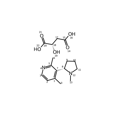 Cc1ccnc(C)c1[C@@H]1CCCN1C.O=C(O)C[C@H](O)C(=O)O